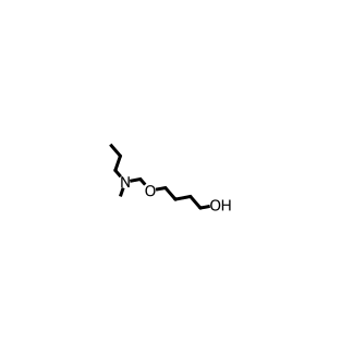 CCCN(C)COCCCCO